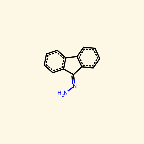 NN=C1c2ccccc2-c2ccccc21